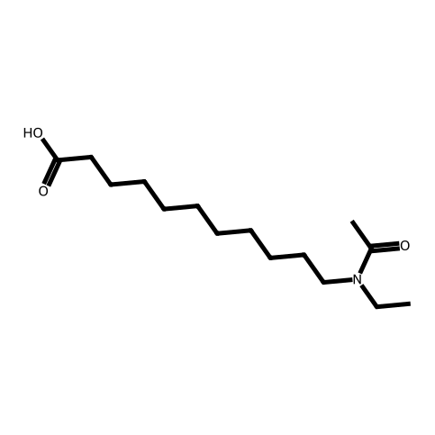 CCN(CCCCCCCCCCC(=O)O)C(C)=O